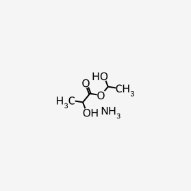 CC(O)OC(=O)C(C)O.N